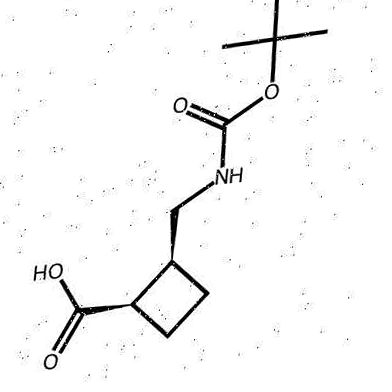 CC(C)(C)OC(=O)NC[C@H]1CC[C@H]1C(=O)O